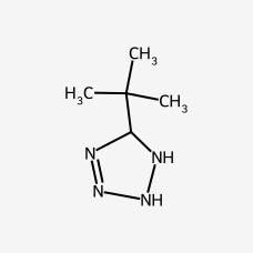 CC(C)(C)C1N=NNN1